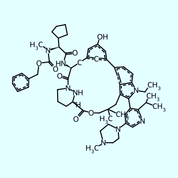 CCn1c(-c2cc(N3CCN(C)CC3)cnc2C(C)C)c2c3cc(ccc31)-c1cc(O)cc(c1)C[C@H](NC(=O)[C@H](C1CCCC1)N(C)C(=O)OCc1ccccc1)C(=O)N1CCC[C@H](N1)C(=O)OCC(C)(C)C2